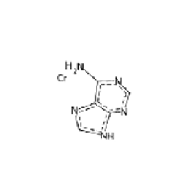 Nc1ncnc2[nH]cnc12.[Cr]